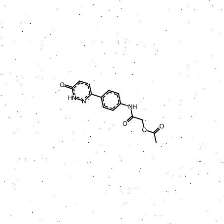 CC(=O)OCC(=O)Nc1ccc(-c2ccc(=O)[nH]n2)cc1